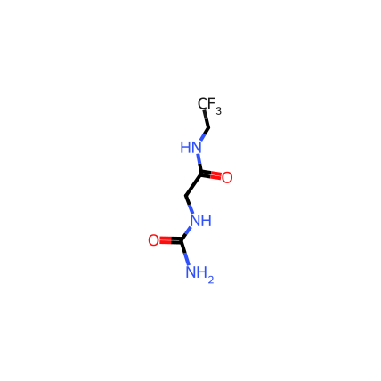 NC(=O)NCC(=O)NCC(F)(F)F